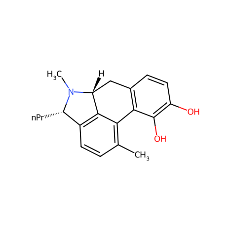 CCC[C@H]1c2ccc(C)c3c2[C@@H](Cc2ccc(O)c(O)c2-3)N1C